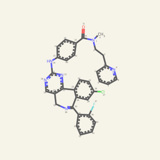 CN(CCc1ccccn1)C(=O)c1ccc(Nc2ncc3c(n2)-c2ccc(Cl)cc2C(c2ccccc2F)=NC3)cc1